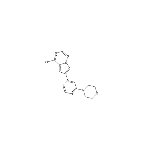 Clc1ncnn2cc(-c3ccnc(N4CCOCC4)c3)cc12